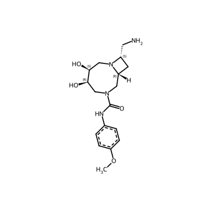 COc1ccc(NC(=O)N2C[C@H]3C[C@@H](CN)N3C[C@H](O)[C@H](O)C2)cc1